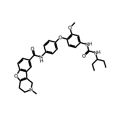 CCC(CC)NC(=O)Nc1ccc(Oc2ccc(NC(=O)c3ccc4oc5c(c4c3)CN(C)CC5)cc2)c(OC)c1